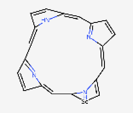 C1=CC2=NC1=CC1=C[Se]C(C=C3C=CC(=N3)C=c3ccc([nH]3)=C2)N1